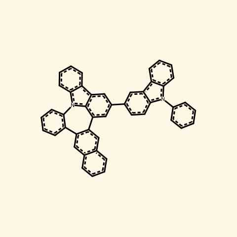 c1ccc(-n2c3ccccc3c3cc(-c4cc5c6c(c4)c4ccccc4n6-c4ccccc4-c4cc6ccccc6cc4-5)ccc32)cc1